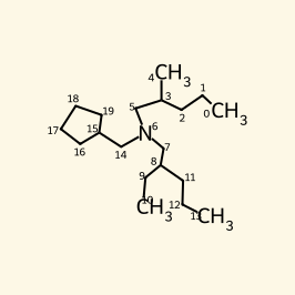 CCCC(C)CN(CC(CC)CCC)CC1CCCC1